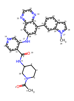 CC(=O)N1CCCC(NC(=O)c2ccncc2Nc2cc(-c3ccc4ccn(C)c4c3)c3nccnc3c2)C1